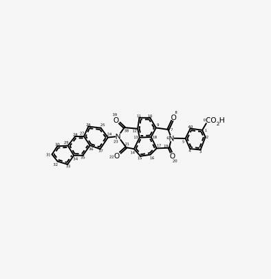 O=C(O)c1cccc(N2C(=O)c3ccc4c5c(ccc(c35)C2=O)C(=O)N(c2ccc3cc5ccccc5cc3c2)C4=O)c1